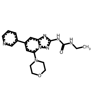 CCNC(=O)Nc1nc2cc(-c3cccnc3)cc(N3CCOCC3)n2n1